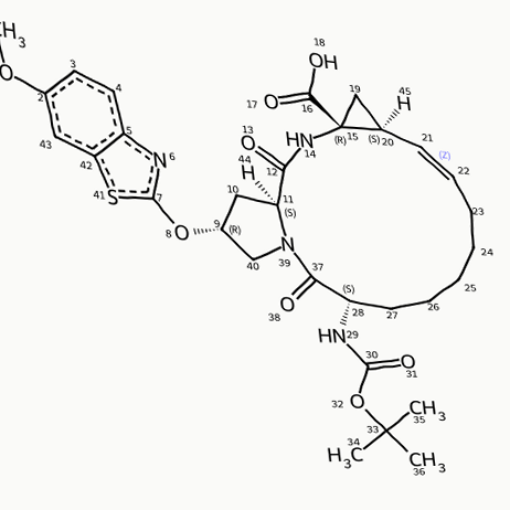 COc1ccc2nc(O[C@@H]3C[C@H]4C(=O)N[C@]5(C(=O)O)C[C@H]5/C=C\CCCCC[C@H](NC(=O)OC(C)(C)C)C(=O)N4C3)sc2c1